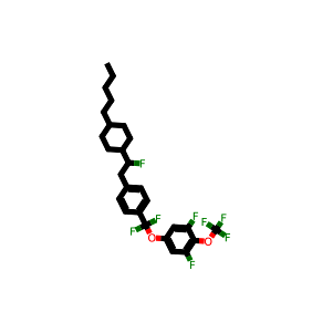 CCCCCC1CCC(C(F)Cc2ccc(C(F)(F)Oc3cc(F)c(OC(F)(F)F)c(F)c3)cc2)CC1